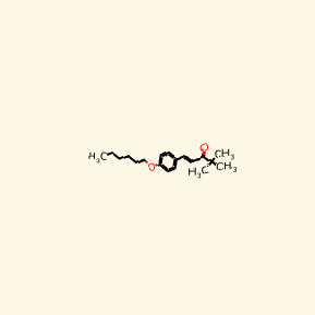 CCCCCCOc1ccc(/C=C/C(=O)C(C)(C)C)cc1